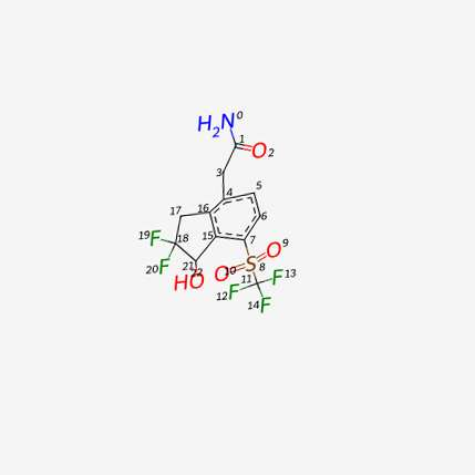 NC(=O)Cc1ccc(S(=O)(=O)C(F)(F)F)c2c1CC(F)(F)C2O